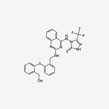 OCc1ccccc1Sc1ccccc1CNc1nc(Nn2c(C(F)(F)F)n[nH]c2=S)c2ccccc2n1